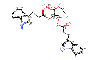 O=C(CCc1c[nH]c2ccccc12)O[C@@H]1CCOC(O)[C@@H]1OC(=O)CCc1c[nH]c2ccccc12